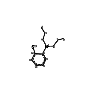 CCCN(CCC)c1ccccc1[S]